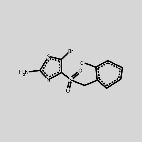 Nc1nc(S(=O)(=O)Cc2ccccc2Cl)c(Br)s1